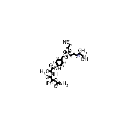 C/C(=C\CCP(=O)(OCCC#N)OCc1ccc(NC(=O)C(C)NC(=O)C(OC(N)=O)C(C)C)cc1)CO